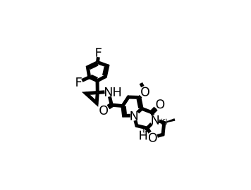 COC1=C2C(=O)N3[C@@H](C)CO[C@@H]3CN2C=C(C(=O)NC2(c3ccc(F)cc3F)CC2)C1